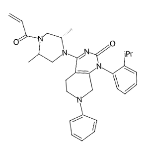 C=CC(=O)N1C[C@H](C)N(c2nc(=O)n(-c3ccccc3C(C)C)c3c2CCN(c2ccccc2)C3)CC1C